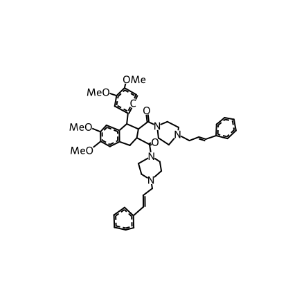 COc1ccc(C2c3cc(OC)c(OC)cc3CC(C(=O)N3CCN(C/C=C/c4ccccc4)CC3)C2C(=O)N2CCN(C/C=C/c3ccccc3)CC2)cc1OC